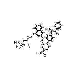 C[Si](C)(C)CCOCOc1cc(COC2CN(C(=O)O)CCC2c2ccc(C(N)C(=O)c3ccccc3)cc2)cc2ccccc12